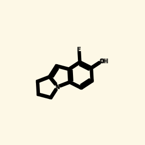 Oc1ccc2c(cc3n2CCC3)c1F